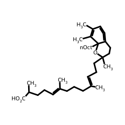 CCCCCCCCC12OC(C)(CC/C=C(\C)CCC/C(C)=C/CCC(C)C(=O)O)CCC1=C=CC(C)=C2C